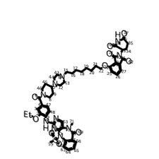 CCOc1cc(C(=O)N2CCC(N3CCN(CCCCCCCCOc4cccc5c4C(=O)N(C4CCC(=O)NC4=O)C5=O)CC3)CC2)ccc1Nc1ncc2c(n1)N(S(C)(=O)=O)c1ccccc1C(=O)N2C